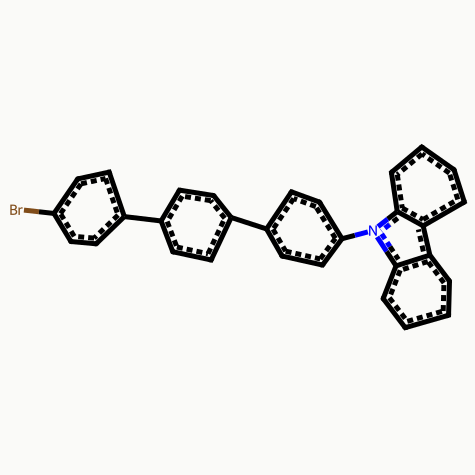 Brc1ccc(-c2ccc(-c3ccc(-n4c5ccccc5c5ccccc54)cc3)cc2)cc1